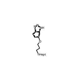 CCCCCCCCCCOc1ccc2nn[nH]c2c1